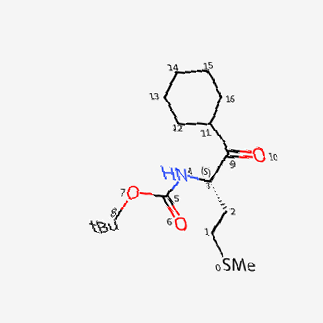 CSCC[C@H](NC(=O)OC(C)(C)C)C(=O)C1CCCCC1